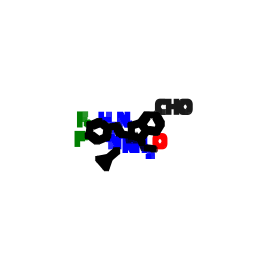 NC1c2cc(C=O)cc3c2C(CCO3)[C@]1(N)c1cc2cc(F)c(F)cc2n1CC1CC1